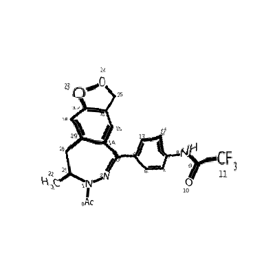 CC(=O)N1N=C(c2ccc(NC(=O)C(F)(F)F)cc2)c2cc3c(cc2CC1C)OOC3